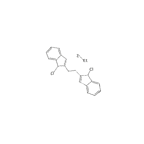 C[CH2][Zr].ClC1C(CCC2=Cc3ccccc3C2Cl)=Cc2ccccc21